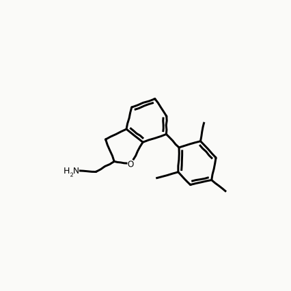 Cc1cc(C)c(-c2cccc3c2OC(CN)C3)c(C)c1